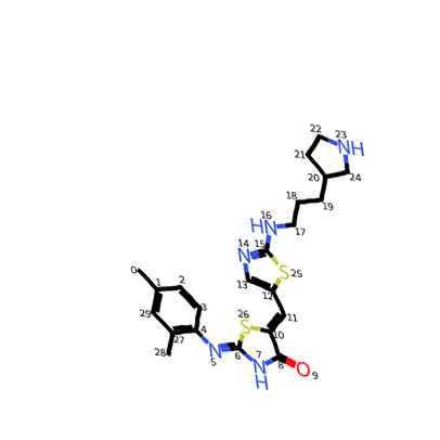 Cc1ccc(/N=C2/NC(=O)/C(=C/c3cnc(NCCCC4CCNC4)s3)S2)c(C)c1